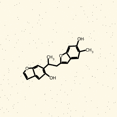 Cc1cc2cc(CC(C)c3cc4occc4cc3O)oc2cc1O